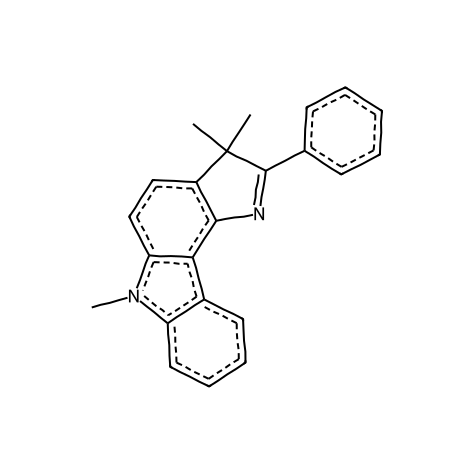 Cn1c2ccccc2c2c3c(ccc21)C(C)(C)C(c1ccccc1)=N3